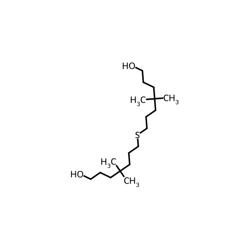 CC(C)(CCCO)CCCSCCCC(C)(C)CCCO